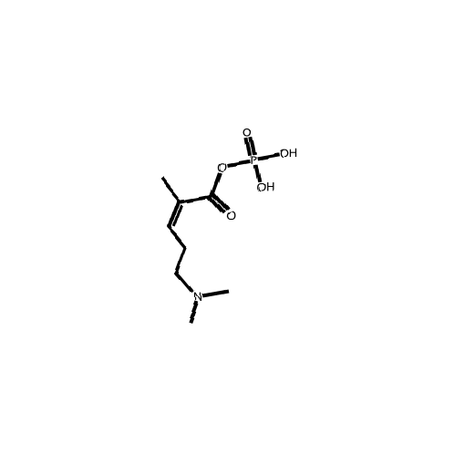 CC(=CCCN(C)C)C(=O)OP(=O)(O)O